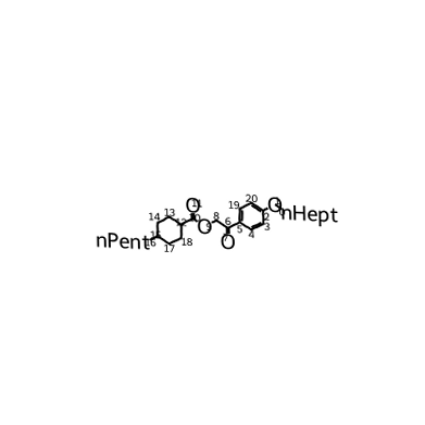 CCCCCCCOc1ccc(C(=O)COC(=O)C2CCC(CCCCC)CC2)cc1